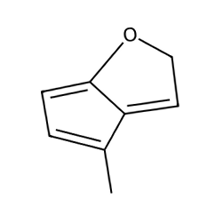 CC1=CC=C2OCC=C12